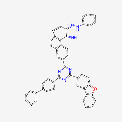 N=C1/C(=N\Nc2ccccc2)C=Cc2ccc3cc(-c4nc(-c5ccc(-c6ccccc6)cc5)nc(-c5ccc6oc7ccccc7c6c5)n4)ccc3c21